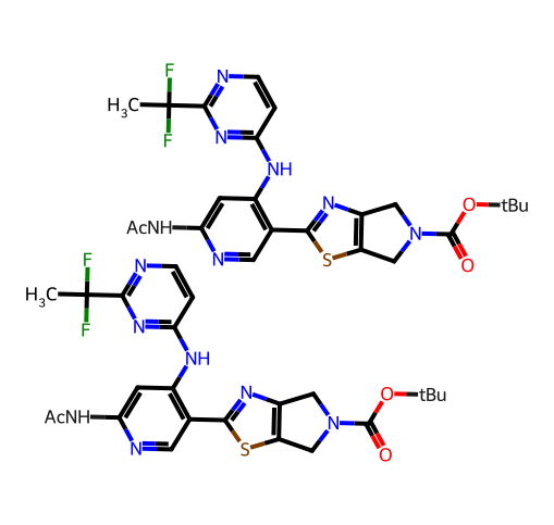 CC(=O)Nc1cc(Nc2ccnc(C(C)(F)F)n2)c(-c2nc3c(s2)CN(C(=O)OC(C)(C)C)C3)cn1.CC(=O)Nc1cc(Nc2ccnc(C(C)(F)F)n2)c(-c2nc3c(s2)CN(C(=O)OC(C)(C)C)C3)cn1